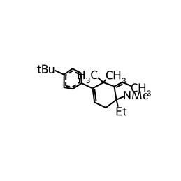 C/C=C1\C(CC)(NC)CC=C(c2ccc(C(C)(C)C)cc2)C1(C)C